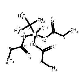 CCC(=O)[NH][Ta]([NH2])([NH]C(=O)CC)([NH]C(=O)CC)[C](C)(C)C